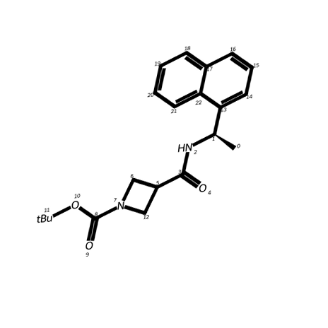 C[C@@H](NC(=O)C1CN(C(=O)OC(C)(C)C)C1)c1cccc2ccccc12